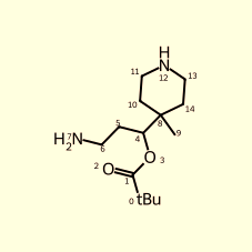 CC(C)(C)C(=O)OC(CCN)C1(C)CCNCC1